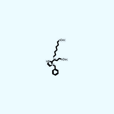 CCCCCCCCCCCCCCCCC[C@H](CCCCCCCCCCCC)c1[nH]cc[n+]1Cc1ccccc1